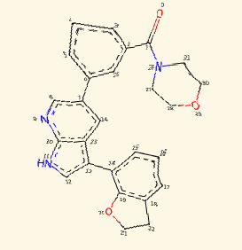 O=C(c1cccc(-c2cnc3[nH]cc(-c4cccc5c4OCC5)c3c2)c1)N1CCOCC1